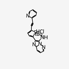 CC(C)(C)Nc1c(-c2ccc(C#Cc3ccccn3)s2)nc2cccnn12.Cl